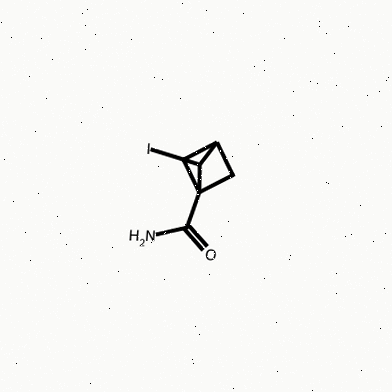 NC(=O)C12CC(C1)C2I